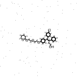 OCCC(=C(c1ccc(Cl)cc1)c1ccc(OCCOCCOC2CCCCO2)cc1)c1ccccc1